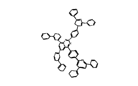 C1=CCCC(c2cc(-c3ccccc3)nc(-c3ccc(-c4nc(-c5ccc(C6C=C(c7ccccc7)N=C(c7ccccc7)C6)cc5)nc5c(C6=CCCC(c7ccccc7)=C6)cc(-c6cccc(C7=CCCC=C7)c6)cc45)cc3)c2)=C1